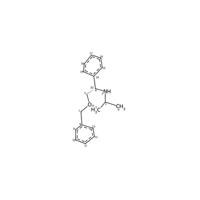 CC(C)N[C@H](COCc1ccccc1)c1ccccc1